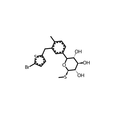 CS[C@H]1OC(c2ccc(C)c(Cc3ccc(Br)s3)c2)[C@H](O)[C@@H](O)[C@@H]1O